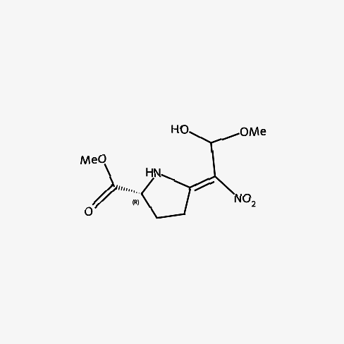 COC(=O)[C@H]1CCC(=C(C(O)OC)[N+](=O)[O-])N1